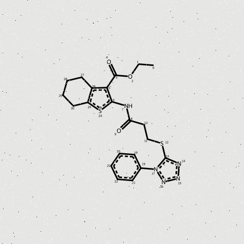 CCOC(=O)c1c(NC(=O)CCSc2nnnn2-c2ccccc2)sc2c1CCCC2